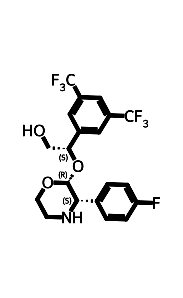 OC[C@@H](O[C@H]1OCCN[C@H]1c1ccc(F)cc1)c1cc(C(F)(F)F)cc(C(F)(F)F)c1